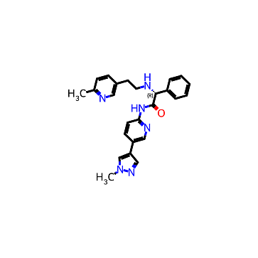 Cc1ccc(CCN[C@@H](C(=O)Nc2ccc(-c3cnn(C)c3)cn2)c2ccccc2)cn1